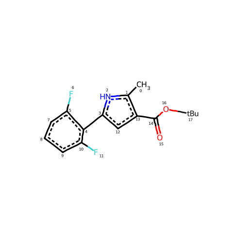 Cc1[nH]c(-c2c(F)cccc2F)cc1C(=O)OC(C)(C)C